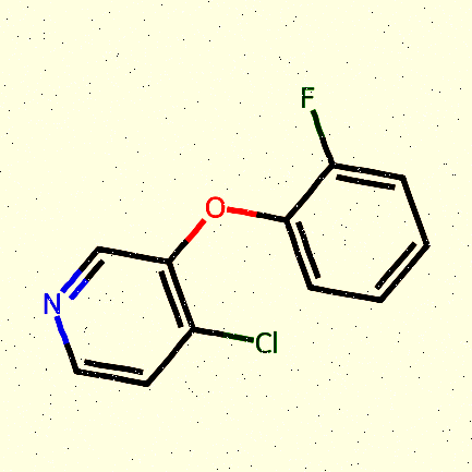 Fc1ccccc1Oc1cnccc1Cl